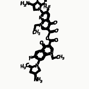 CCn1cc(C(=O)OC(=O)c2cn(CC)c3nc(N4CC(N)CC4C)c(F)cc3c2=O)c(=O)c2cc(F)c(N3CC(N)CC3C)cc21